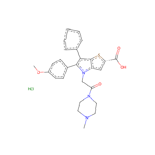 COc1ccc(-c2c(-c3ccccc3)c3sc(C(=O)O)cc3n2CC(=O)N2CCN(C)CC2)cc1.Cl